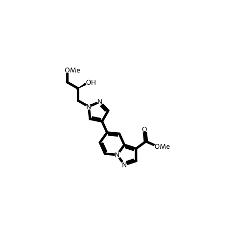 COC[C@@H](O)Cn1cc(-c2ccn3ncc(C(=O)OC)c3c2)cn1